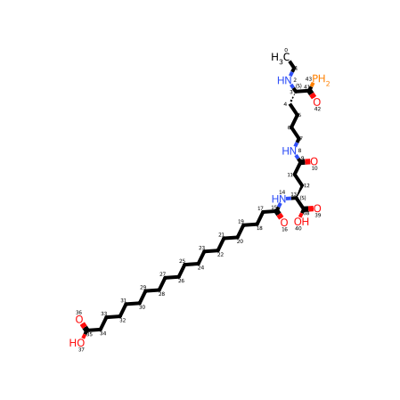 CCN[C@@H](CCCCNC(=O)CC[C@H](NC(=O)CCCCCCCCCCCCCCCCCCC(=O)O)C(=O)O)C(=O)P